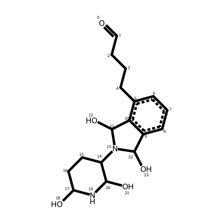 O=CCCCc1cccc2c1C(O)N(C1CCC(O)NC1O)C2O